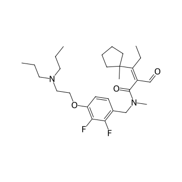 CCCN(CCC)CCOc1ccc(CN(C)C(=O)/C(C=O)=C(/CC)C2(C)CCCC2)c(F)c1F